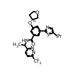 CC(C)c1cnc(-c2cc(O[C@@H]3CCOC3)cc(C(=O)NC(C)c3ccc(C(F)(F)F)nn3)c2)s1